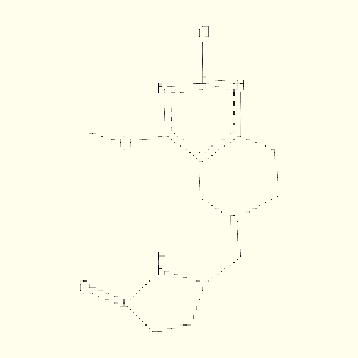 COc1nc(Cl)nc2c1CN(CC1CCC(=O)N1)CC2